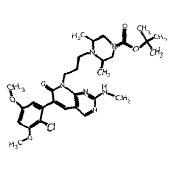 CNc1ncc2cc(-c3cc(OC)cc(OC)c3Cl)c(=O)n(CCCN3C(C)CN(C(=O)OC(C)(C)C)CC3C)c2n1